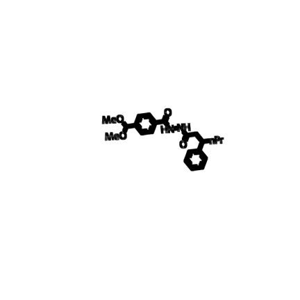 CCCC(CC(=O)NNC(=O)c1ccc(C(OC)OC)cc1)c1ccccc1